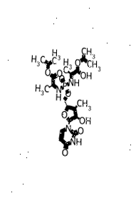 CC(C)OC(=O)[C@@H](C)NP(=O)(N[C@@H](C)C(O)OC(C)C)OC[C@H]1O[C@@H](n2ccc(=O)[nH]c2=O)[C@H](O)[C@@H]1C